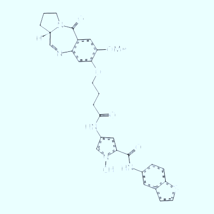 COc1cc2c(cc1OCCCC(=O)Nc1cc(C(=O)Nc3ccc4sccc4c3)n(C)c1)N=C[C@@H]1CCCN1C2=O